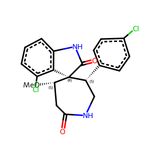 CO[C@H]1CC(=O)NC[C@@H](c2ccc(Cl)cc2)[C@]12C(=O)Nc1cccc(Cl)c12